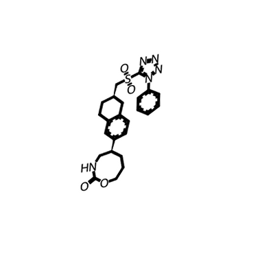 O=C1NC[C@@H](c2ccc3c(c2)CC[C@@H](CS(=O)(=O)c2nnnn2-c2ccccc2)C3)CCCO1